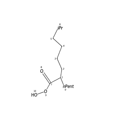 CCCCCC(CCCCC(C)C)C(=O)OO